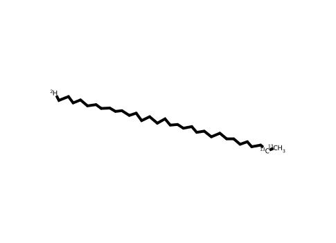 [2H]CCCCCCCCCCCCCCCCCCCCCCCCCCCCCC[13CH2][13CH3]